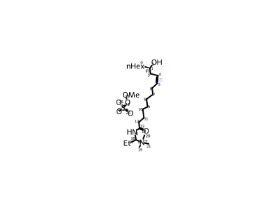 CCCCCC[C@@H](O)C/C=C\CCCCCCCC(=O)NC(CC)[N+](C)(C)C.COOS(=O)(=O)[O-]